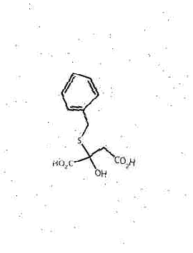 O=C(O)CC(O)(SCc1ccccc1)C(=O)O